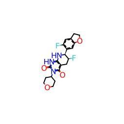 O=c1[nH]c2c(c(=O)n1C1CCOCC1)C[C@H](F)[C@H](c1cc3c(cc1F)CCO3)N2